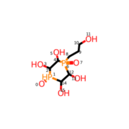 O=[PH]1C(O)C(O)P(=O)(CCCO)C(O)C1O